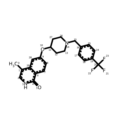 Cc1c[nH]c(=O)c2ccc(OC3CCN(Cc4ccc(C(F)(F)F)cc4)CC3)cc12